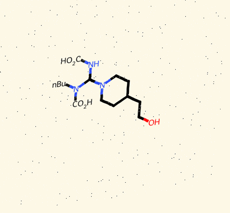 CCCCN(C(=O)O)C(NC(=O)O)N1CCC(CCO)CC1